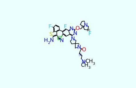 CN(C)C/C=C/C(=O)N1CC2(CCN(c3nc(OC[C@@]45CCCN4C[C@H](F)C5)nc4c(F)c(-c5ccc(F)c6sc(N)c(C#N)c56)c(Cl)cc34)C2)C1